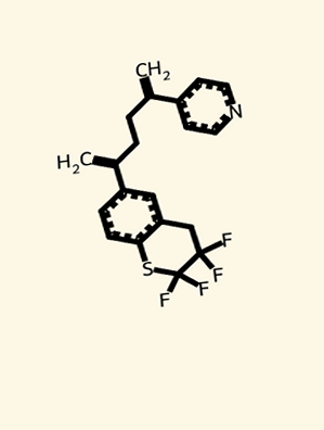 C=C(CCC(=C)c1ccc2c(c1)CC(F)(F)C(F)(F)S2)c1ccncc1